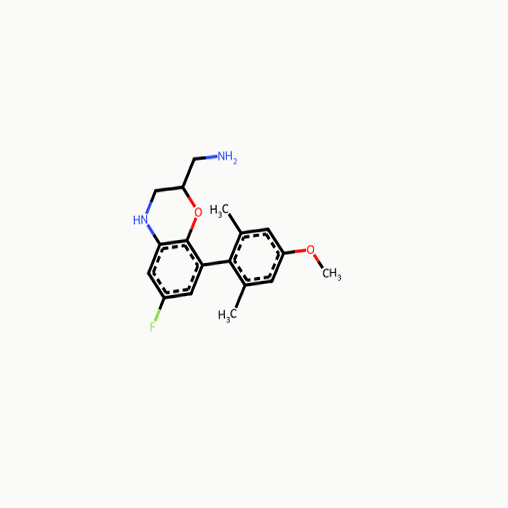 COc1cc(C)c(-c2cc(F)cc3c2OC(CN)CN3)c(C)c1